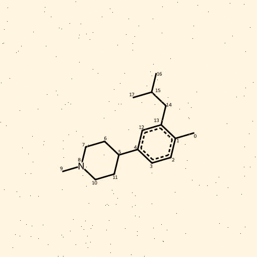 Cc1ccc(C2CCN(C)CC2)cc1CC(C)C